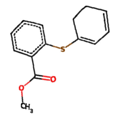 COC(=O)c1ccccc1SC1=CC=CCC1